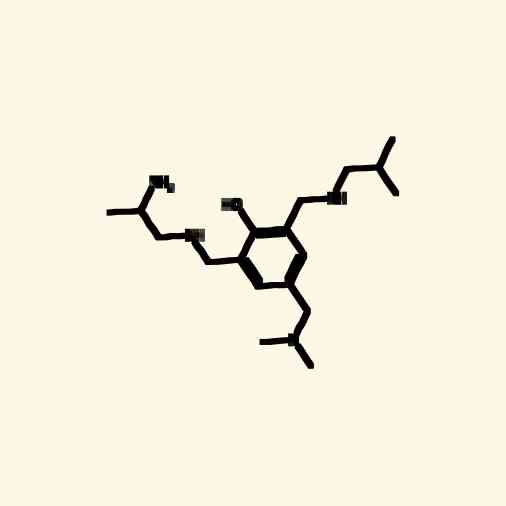 CC(C)CNCc1cc(CN(C)C)cc(CNCC(C)N)c1O